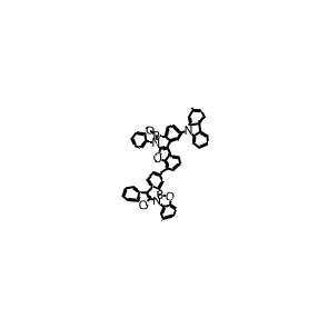 c1ccc2c(c1)OB1c3cc(-c4cccc5c6c(oc45)N4B(Oc5ccccc54)c4ccc(-n5c7ccccc7c7ccccc75)cc4-6)ccc3-c3c(oc4ccccc34)N12